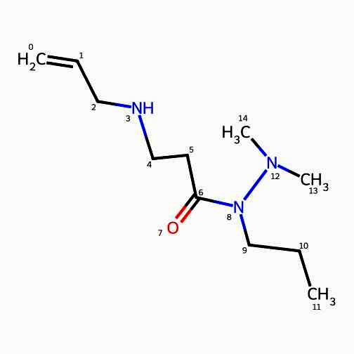 C=CCNCCC(=O)N(CCC)N(C)C